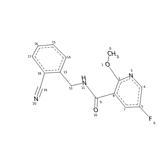 COc1ncc(F)cc1C(=O)NCc1ccccc1C#N